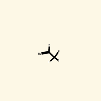 F[C](=[Ra])C(F)(F)F